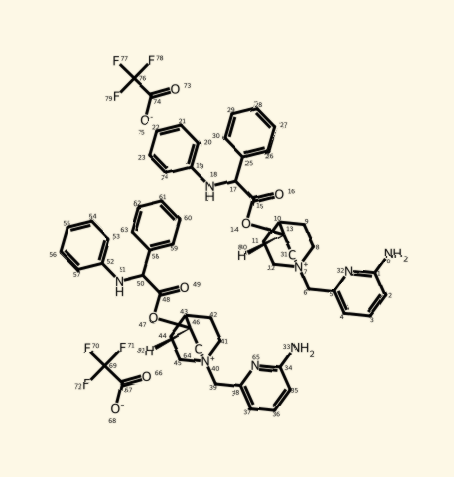 Nc1cccc(C[N+]23CCC(CC2)[C@@H](OC(=O)C(Nc2ccccc2)c2ccccc2)C3)n1.Nc1cccc(C[N+]23CCC(CC2)[C@@H](OC(=O)C(Nc2ccccc2)c2ccccc2)C3)n1.O=C([O-])C(F)(F)F.O=C([O-])C(F)(F)F